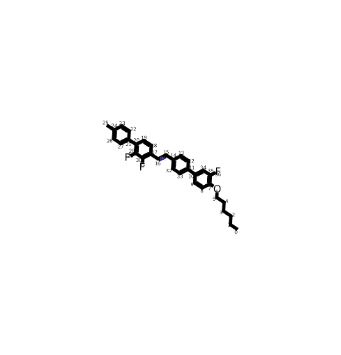 CCCCCCOc1ccc(-c2ccc(/C=C/c3ccc(-c4ccc(C)cc4)c(F)c3F)cc2)cc1F